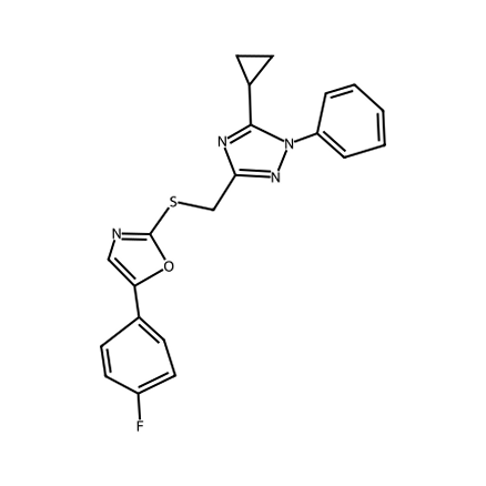 Fc1ccc(-c2cnc(SCc3nc(C4CC4)n(-c4ccccc4)n3)o2)cc1